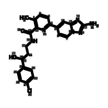 Cc1ccc(-c2ccn3nc(N)nc3c2)nc1C(=O)NCC[C@H](O)c1ccc(Cl)cc1